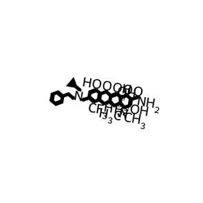 CN(C)[C@@H]1C(O)=C(C(N)=O)C(=O)[C@@]2(O)C(O)=C3C(=O)c4c(O)cc(CN(CCc5ccccc5)CC5CC5)c(C(F)(F)F)c4C[C@H]3C[C@@H]12